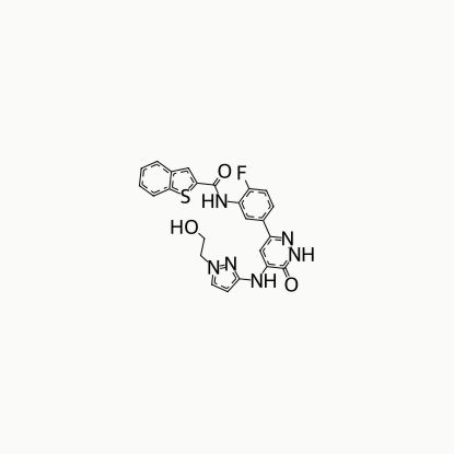 O=C(Nc1cc(-c2cc(Nc3ccn(CCO)n3)c(=O)[nH]n2)ccc1F)c1cc2ccccc2s1